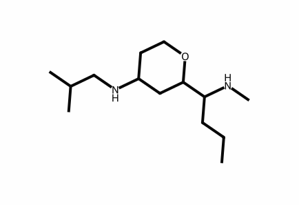 CCCC(NC)C1CC(NCC(C)C)CCO1